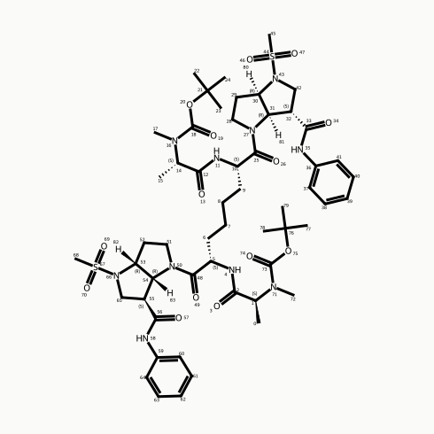 C[C@@H](C(=O)N[C@@H](CCCC[C@H](NC(=O)[C@H](C)N(C)C(=O)OC(C)(C)C)C(=O)N1CC[C@@H]2[C@H]1[C@@H](C(=O)Nc1ccccc1)CN2S(C)(=O)=O)C(=O)N1CC[C@@H]2[C@H]1[C@@H](C(=O)Nc1ccccc1)CN2S(C)(=O)=O)N(C)C(=O)OC(C)(C)C